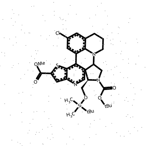 COC(=O)c1cc2nccc(-c3cc(Cl)cc4c3N(C3C[C@H](CO[Si](C)(C)C(C)(C)C)N(C(=O)OC(C)(C)C)C3)CCC4)c2s1